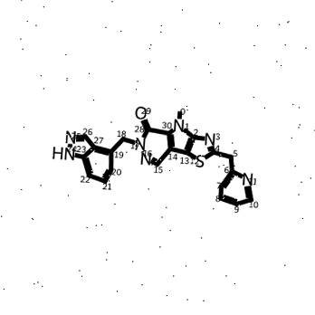 Cn1c2nc(Cc3ccccn3)sc2c2cnn(Cc3cccc4[nH]ncc34)c(=O)c21